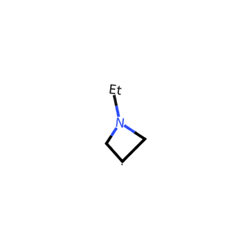 CCN1C[CH]C1